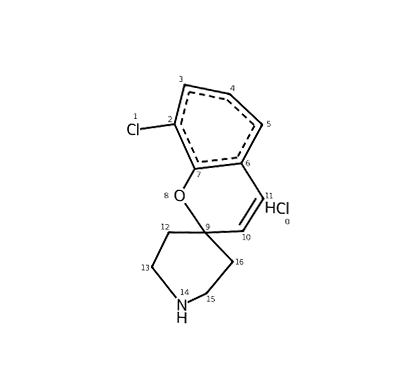 Cl.Clc1cccc2c1OC1(C=C2)CCNCC1